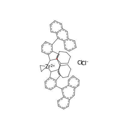 C1=C(C2CCCCC2)[CH]([Zr+2]2([CH]3C(C4CCCCC4)=Cc4c(-c5c6ccccc6cc6ccccc56)cccc43)[CH2][CH2]2)c2cccc(-c3c4ccccc4cc4ccccc34)c21.[Cl-].[Cl-]